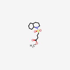 COC(=O)CCCS(=O)(=O)N1CCCC2CCCCC21